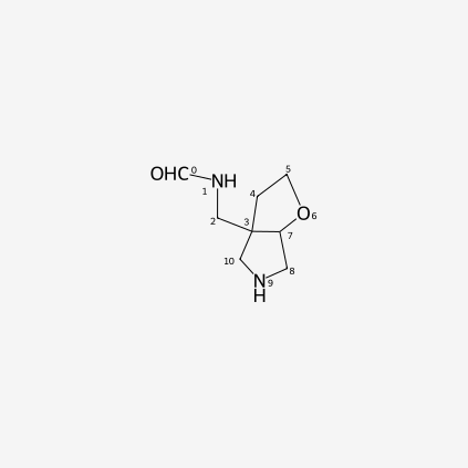 O=CNCC12CCOC1CNC2